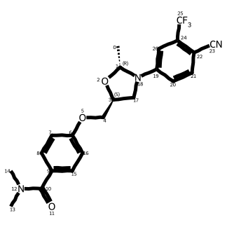 C[C@H]1O[C@H](COc2ccc(C(=O)N(C)C)cc2)CN1c1ccc(C#N)c(C(F)(F)F)c1